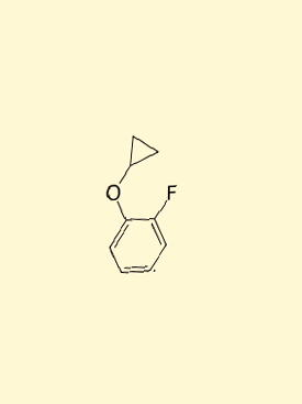 Fc1c[c]ccc1OC1CC1